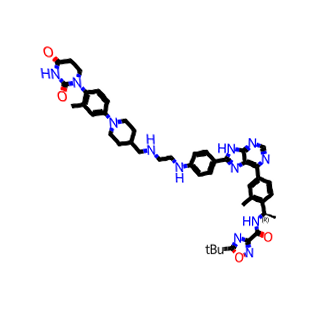 Cc1cc(-c2ncnc3[nH]c(-c4ccc(NCCNCC5CCN(c6ccc(N7CCC(=O)NC7=O)c(C)c6)CC5)cc4)nc23)ccc1[C@@H](C)NC(=O)c1noc(C(C)(C)C)n1